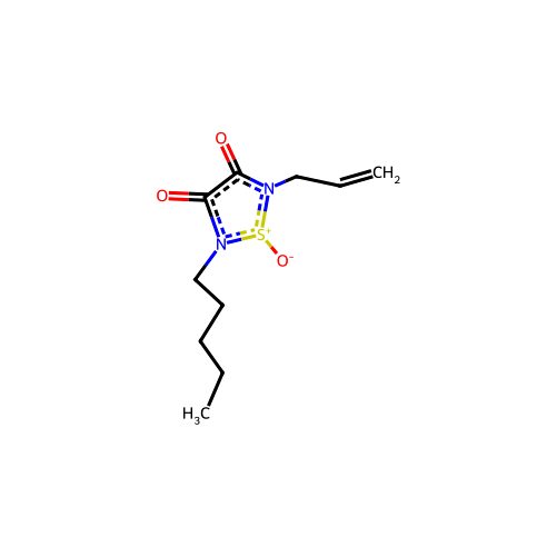 C=CCn1c(=O)c(=O)n(CCCCC)[s+]1[O-]